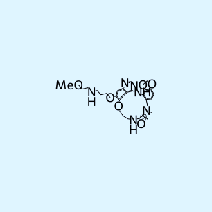 COCCNCCCOc1cc2ncnc3c2cc1OCCCNC(=O)[C@H](C)N(C)Cc1ccc2c(c1N3)OCO2